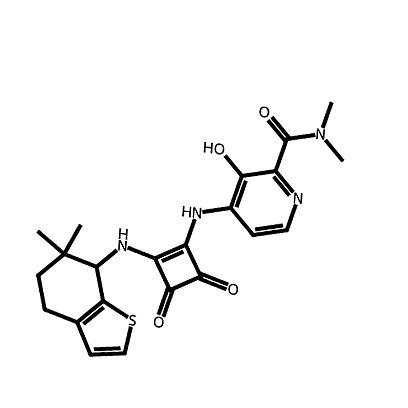 CN(C)C(=O)c1nccc(Nc2c(NC3c4sccc4CCC3(C)C)c(=O)c2=O)c1O